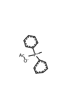 CC(=O)[O-].C[P+](C)(c1ccccc1)c1ccccc1